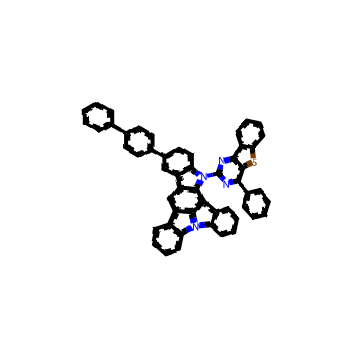 c1ccc(-c2ccc(-c3ccc4c(c3)c3cc5c6ccccc6n6c7ccccc7c(c3n4-c3nc(-c4ccccc4)c4sc7ccccc7c4n3)c56)cc2)cc1